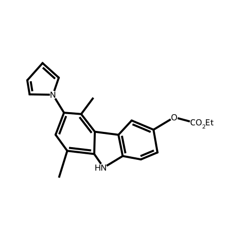 CCOC(=O)Oc1ccc2[nH]c3c(C)cc(-n4cccc4)c(C)c3c2c1